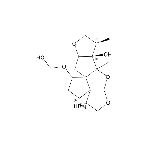 C[C@@H]1COC2CC34C(OCO)C[C@@H](C(C)(C)C)C35C(OC[C@@H]5O)OC4(C)[C@]21O